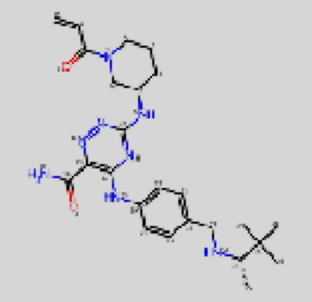 C=CC(=O)N1CCC[C@@H](Nc2nnc(C(N)=O)c(Nc3ccc(CN[C@@H](C)C(C)(C)C)cc3)n2)C1